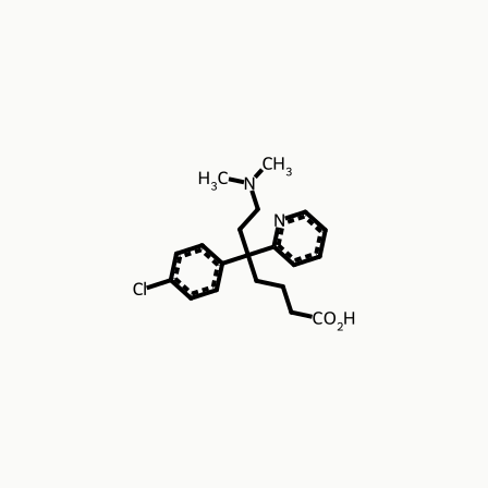 CN(C)CCC(CCCC(=O)O)(c1ccc(Cl)cc1)c1ccccn1